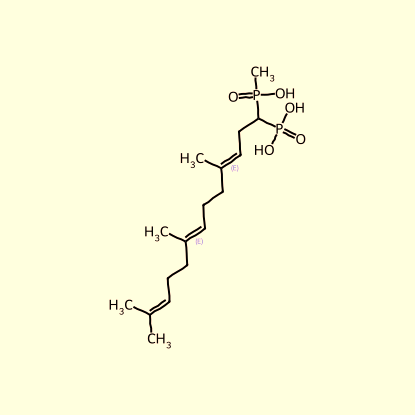 CC(C)=CCC/C(C)=C/CC/C(C)=C/CC(P(C)(=O)O)P(=O)(O)O